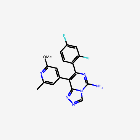 COc1cc(-c2c(-c3ccc(F)cc3F)nc(N)n3cnnc23)cc(C)n1